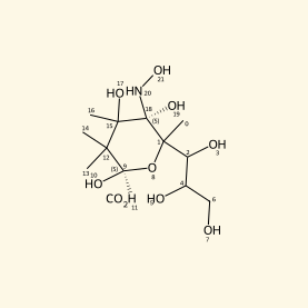 CC1(C(O)C(O)CO)O[C@](O)(C(=O)O)C(C)(C)C(C)(O)[C@@]1(O)NO